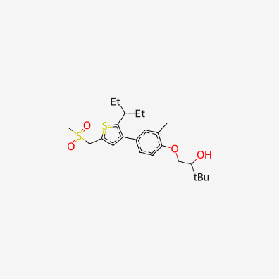 CCC(CC)c1sc(CS(C)(=O)=O)cc1-c1ccc(OCC(O)C(C)(C)C)c(C)c1